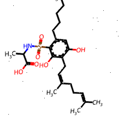 CCCCCc1cc(O)c(CC=C(C)CCC=C(C)C)c(O)c1S(=O)(=O)NC(C)C(=O)O